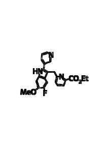 CCOC(=O)c1cccc(Cc2c(-c3cccnc3)[nH]c3cc(OC)c(F)cc23)n1